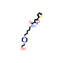 O=C(NCCCCCN1CCN(CCO)CC1)c1cc(-c2cccs2)on1